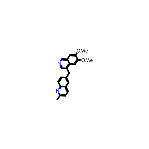 COc1cc2cncc(Cc3ccc4nc(C)ccc4c3)c2cc1OC